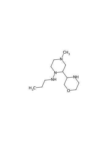 CCCNN1CCN(C)C[C]1C1COCCN1